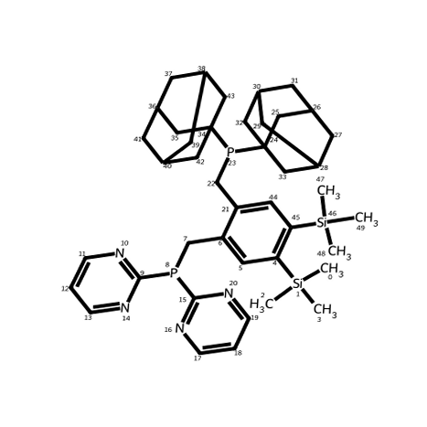 C[Si](C)(C)c1cc(CP(c2ncccn2)c2ncccn2)c(CP(C23CC4CC(CC(C4)C2)C3)C23CC4CC(CC(C4)C2)C3)cc1[Si](C)(C)C